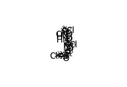 O=C(NC(=O)c1c(Cl)cccc1Cl)Nc1cnc(Oc2ccc([S+]([O-])c3ccc(Cl)cc3)cc2)c(Cl)c1